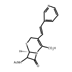 CC(=O)NC1C(=O)N2C(C(=O)O)=C(/C=C/c3cccnc3)CS[C@H]12